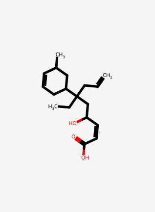 C=CCC(CC)(CC(O)/C=C\C(=O)O)C1CC=CC(C)C1